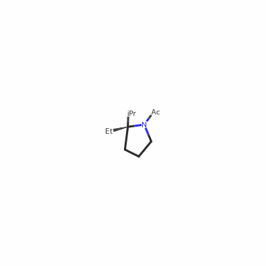 CC[C@]1(C(C)C)CCCN1C(C)=O